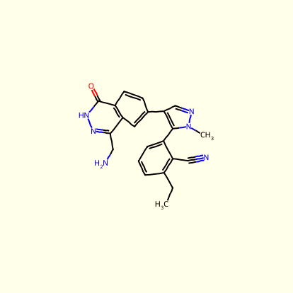 CCc1cccc(-c2c(-c3ccc4c(=O)[nH]nc(CN)c4c3)cnn2C)c1C#N